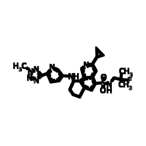 Cn1nnc(-c2ccc(NC3CCCc4cc(S(=O)(=O)NCC(C)(C)F)c5cc(C6CC6)ncc5c43)cn2)n1